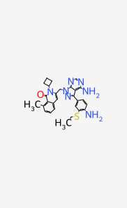 CCSc1cc(-c2nn(Cc3cc4cccc(C)c4c(=O)n3C3CCC3)c3ncnc(N)c23)ccc1N